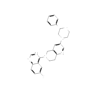 Fc1ccc2ncnc(N3CCc4ncc(N5CCO[C@H](c6ccccc6)C5)cc4C3)c2c1